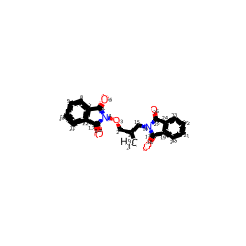 CC(CON1C(=O)c2ccccc2C1=O)CN1C(=O)c2ccccc2C1=O